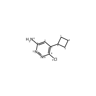 Nc1cc(C2CCC2)c(Cl)nn1